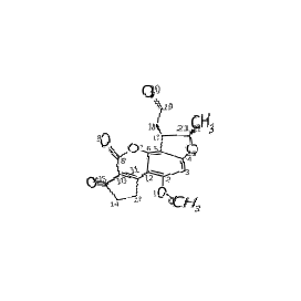 COc1cc2c(c3oc(=O)c4c(c13)CCC4=O)[C@@H](CC=O)[C@@H](C)O2